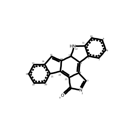 O=C1N=CC2=C3c4ccccc4NC3C3=Cc4ccccc4C3=C12